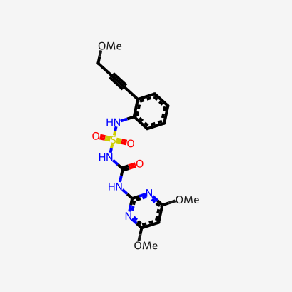 COCC#Cc1ccccc1NS(=O)(=O)NC(=O)Nc1nc(OC)cc(OC)n1